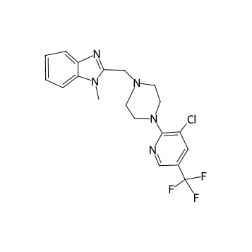 Cn1c(CN2CCN(c3ncc(C(F)(F)F)cc3Cl)CC2)nc2ccccc21